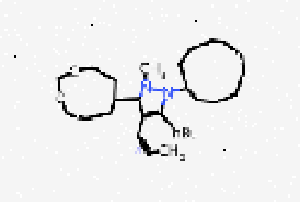 C/C=C\C1=C(CCCC)N(C2CCCCCCCCC2)N(C)C1C1CCCCCCCC1